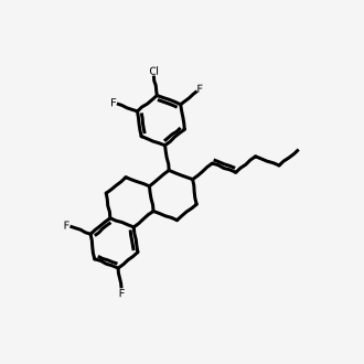 CCCC=CC1CCC2c3cc(F)cc(F)c3CCC2C1c1cc(F)c(Cl)c(F)c1